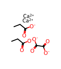 CCC(=O)[O-].CCC(=O)[O-].O=C([O-])C(=O)[O-].[Ca+2].[Ca+2]